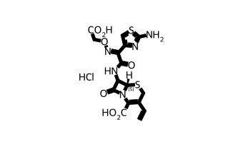 C=CC1=C(C(=O)O)N2C(=O)C(NC(=O)C(=NOCC(=O)O)c3csc(N)n3)[C@@H]2SC1.Cl